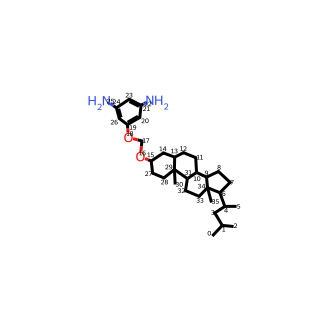 CC(C)CC(C)C1CCC2C3CCC4CC(OCOc5cc(N)cc(N)c5)CCC4(C)C3CCC12C